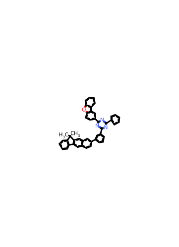 CC1(C)c2ccccc2-c2cc3ccc(-c4cccc(-c5nc(-c6ccccc6)nc(-c6ccc7oc8ccccc8c7c6)n5)c4)cc3cc21